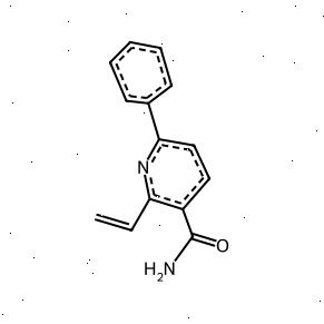 C=Cc1nc(-c2ccccc2)ccc1C(N)=O